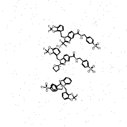 CCS(=O)(=O)c1ccc(CNC(=O)c2ccc3c(c2)nc(C(C)(F)F)n3Cc2cccc3c2OC(F)(F)O3)cc1.CCS(=O)(=O)c1ccc(CNC(=O)c2ccc3c(c2)nc([C@H]2CCCO2)n3Cc2cccc3c2OC(F)(F)O3)cc1.CCS(=O)(=O)c1ccc(C[N@@+]2(Cc3cccc4c3OC(F)(F)O4)C(C3CCCO3)=Nc3ccccc32)cc1